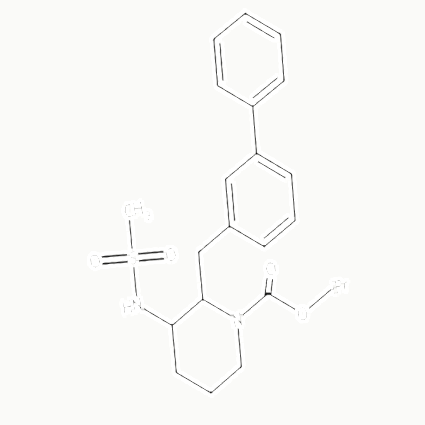 CC(C)OC(=O)N1CCCC(NS(C)(=O)=O)C1Cc1cccc(-c2ccccc2)c1